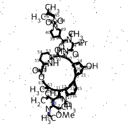 C=C/C(=C(\N=C/C)[C@H](C)OC)c1c2c3cc(ccc3n1CC)-c1cc(O)cc(c1)C[C@H](NC(=O)[C@H](C(C)C)N(C)C(=O)[C@H]1CCN(S(=O)(=O)C=C(C)C)C1)C(=O)N1CCC[C@H](N1)C(=O)OCC(C)(C)C2